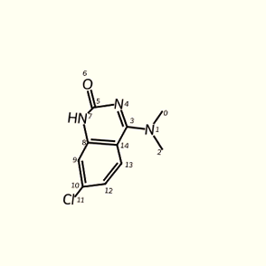 CN(C)c1nc(=O)[nH]c2cc(Cl)ccc12